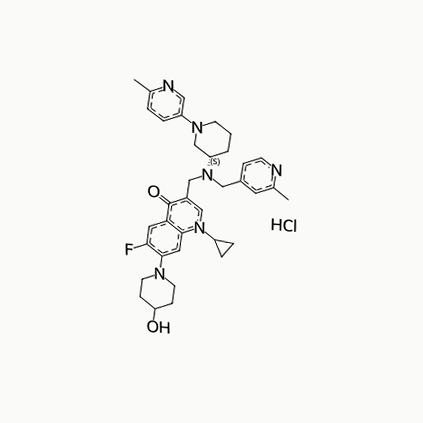 Cc1ccc(N2CCC[C@H](N(Cc3ccnc(C)c3)Cc3cn(C4CC4)c4cc(N5CCC(O)CC5)c(F)cc4c3=O)C2)cn1.Cl